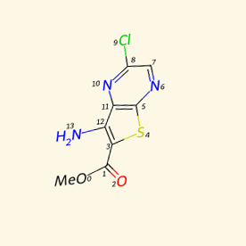 COC(=O)c1sc2ncc(Cl)nc2c1N